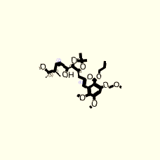 CCCOC(=O)c1c(OCOC)cc(OC)c(OC)c1/C=C/C[C@@H]1OC(C)(C)O[C@@H]1C(O)/C=C\[C@@H](C)[C@H](C)OC